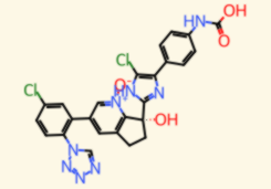 O=C(O)Nc1ccc(-c2nc([C@@]3(O)CCc4cc(-c5cc(Cl)ccc5-n5cnnn5)c[n+]([O-])c43)[nH]c2Cl)cc1